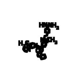 CN(c1ccccn1)C1CCN(CC(=O)N(Cc2cccc3ccccc23)c2ccc3c(c2)nc(CCc2ccc(C(=N)N)cc2)n3C)CC1